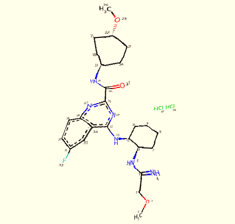 COCC(=N)N[C@@H]1CCCC[C@@H]1Nc1nc(C(=O)N[C@H]2CC[C@H](OC)CC2)nc2ccc(F)cc12.Cl.Cl